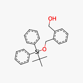 CC(C)(C)[Si](OCc1ccccc1CO)(c1ccccc1)c1ccccc1